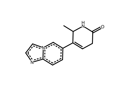 CC1NC(=O)CC=C1c1ccc2nccn2c1